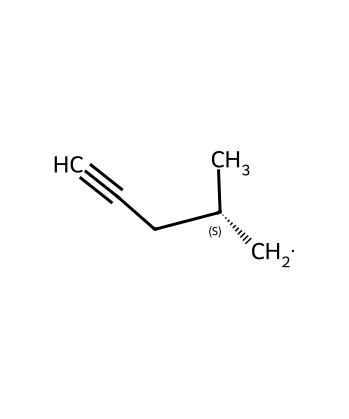 C#CC[C@@H]([CH2])C